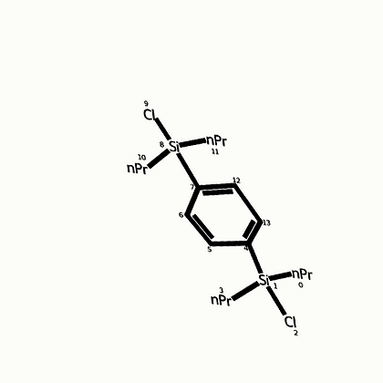 CCC[Si](Cl)(CCC)c1ccc([Si](Cl)(CCC)CCC)cc1